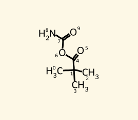 CC(C)(C)C(=O)OC(N)=O